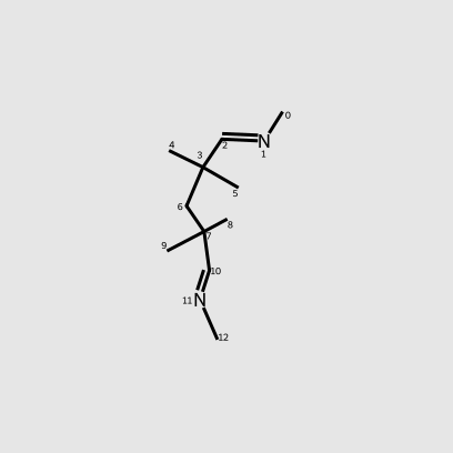 C/N=C/C(C)(C)CC(C)(C)/C=N/C